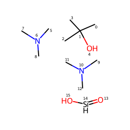 CC(C)(C)O.CN(C)C.CN(C)C.O=[SiH]O